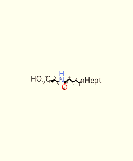 CCCCCCCCCCCC(=O)NCC=CC(=O)O